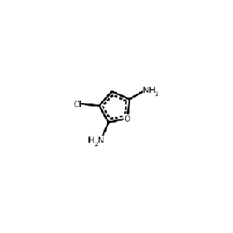 Nc1cc(Cl)c(N)o1